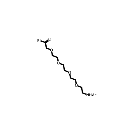 CCC(=O)COCCOCCOCCOCCNC(C)=O